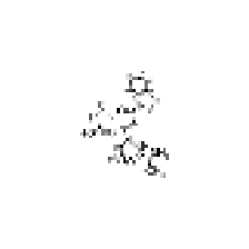 C[C@H](N)C(=O)N[C@H](/C=C/C(=O)N1CCc2ccccc21)CC(C)(C)C.O=C(O)C(F)(F)F